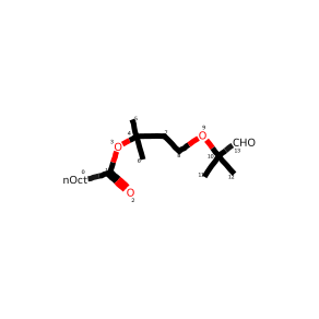 CCCCCCCCC(=O)OC(C)(C)CCOC(C)(C)C=O